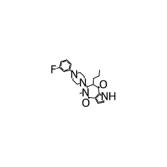 CCCC1C(=O)c2[nH]ccc2C(=O)N(C)C1N1CCN(c2cccc(F)c2)CC1